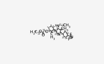 CCCN(Cc1ccc(OCC(=O)OCC)c(C)c1)c1ncnc(-c2ccc(C(F)(F)F)cc2)c1C